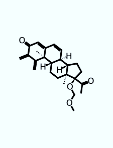 C=C1C(=C)[C@@]2(C)C(=CC1=O)C=C[C@@H]1[C@@H]2CC[C@@]2(C)[C@H]1CC[C@]2(OCOC)C(C)=O